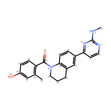 CNc1nccc(-c2ccc3c(c2)CCCN3C(=O)c2ccc(O)cc2C)n1